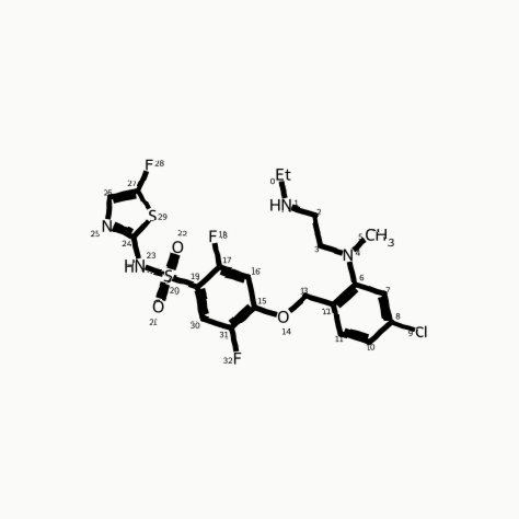 CCNCCN(C)c1cc(Cl)ccc1COc1cc(F)c(S(=O)(=O)Nc2ncc(F)s2)cc1F